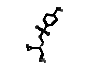 C=C[C@@H](COS(=O)(=O)c1ccc(C)cc1)[C@@H]1CO1